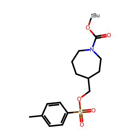 Cc1ccc(S(=O)(=O)OCC2CCCN(C(=O)OC(C)(C)C)CC2)cc1